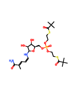 C/C(=C\C=C/NC1O[C@H](COP(=O)(OCCSC(=O)C(C)(C)C)OCCSC(=O)C(C)(C)C)C(O)C1O)C(N)=O